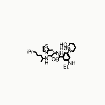 CCNc1cc(C(=O)N[C@@H](Cc2nccs2)[C@@H](O)CNC(C)CCCC(C)C)cc(N2CCCCS2(O)O)c1